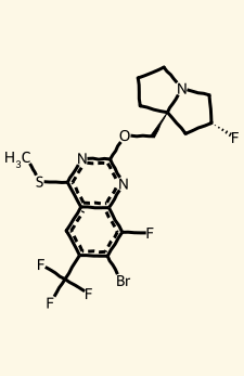 CSc1nc(OC[C@@]23CCCN2C[C@H](F)C3)nc2c(F)c(Br)c(C(F)(F)F)cc12